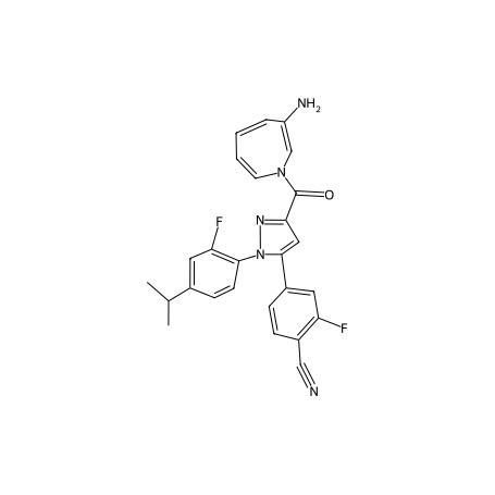 CC(C)c1ccc(-n2nc(C(=O)N3C=CC=CC(N)=C3)cc2-c2ccc(C#N)c(F)c2)c(F)c1